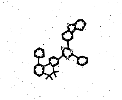 CC1(C)c2cc(-c3nc(-c4ccccc4)nc(-c4ccc5sc6ccccc6c5c4)n3)ccc2-c2c(-c3ccccc3)cccc2C1(C)C